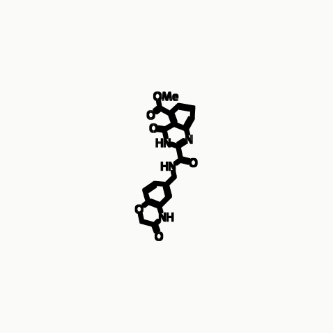 COC(=O)c1cccc2nc(C(=O)NCc3ccc4c(c3)NC(=O)CO4)[nH]c(=O)c12